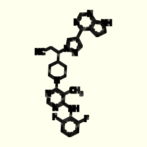 Cc1c(Nc2c(F)cccc2F)ncnc1N1CCC(C(CC#N)n2cc(-c3ncnc4[nH]ccc34)cn2)CC1